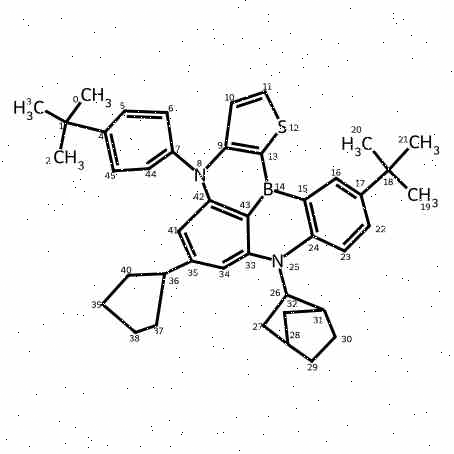 CC(C)(C)c1ccc(N2c3ccsc3B3c4cc(C(C)(C)C)ccc4N(C4CC5CCC4C5)c4cc(C5CCCC5)cc2c43)cc1